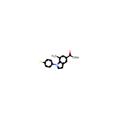 COC(=O)c1cc(C)c2c(ccn2-c2ccc(F)cc2)c1